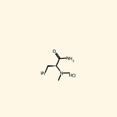 CC(C)C[C@@H](C(N)=O)N(C)C.Cl